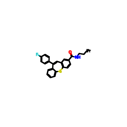 CC(C)CCNC(=O)c1ccc2c(c1)C=C(c1ccc(F)cc1)c1ccccc1S2